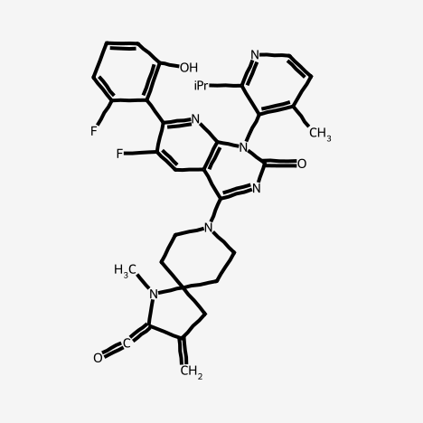 C=C1CC2(CCN(c3nc(=O)n(-c4c(C)ccnc4C(C)C)c4nc(-c5c(O)cccc5F)c(F)cc34)CC2)N(C)C1=C=O